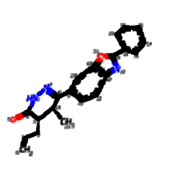 C=CC[C@H]1C(=O)NN=C(c2ccc3nc(-c4ccccc4)oc3c2)[C@H]1C